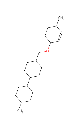 CC1C=CC(OCC2CCC(C3CCC(C)CC3)CC2)CC1